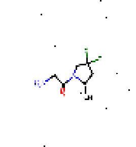 N#C[C@@H]1CC(F)(F)CN1C(=O)CN